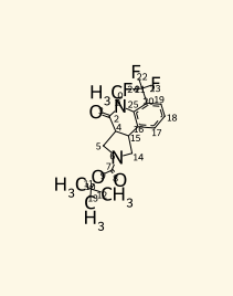 CN1C(=O)C2CN(C(=O)OC(C)(C)C)CC2c2cccc(C(F)(F)F)c21